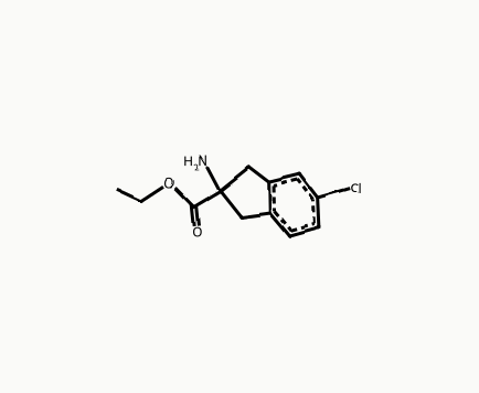 CCOC(=O)C1(N)Cc2ccc(Cl)cc2C1